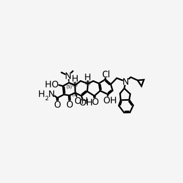 CN(C)[C@@H]1C(O)=C(C(N)=O)C(=O)[C@@]2(O)C(O)=C3C(=O)c4c(O)cc(CN(CC5CC5)C5Cc6ccccc6C5)c(Cl)c4C[C@H]3C[C@@H]12